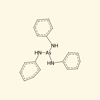 c1ccc(N[As](Nc2ccccc2)Nc2ccccc2)cc1